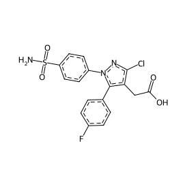 NS(=O)(=O)c1ccc(-n2nc(Cl)c(CC(=O)O)c2-c2ccc(F)cc2)cc1